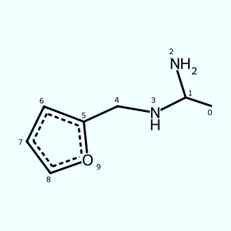 CC(N)NCc1ccco1